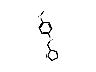 COc1ccc(OCC2CCC[N]2)cc1